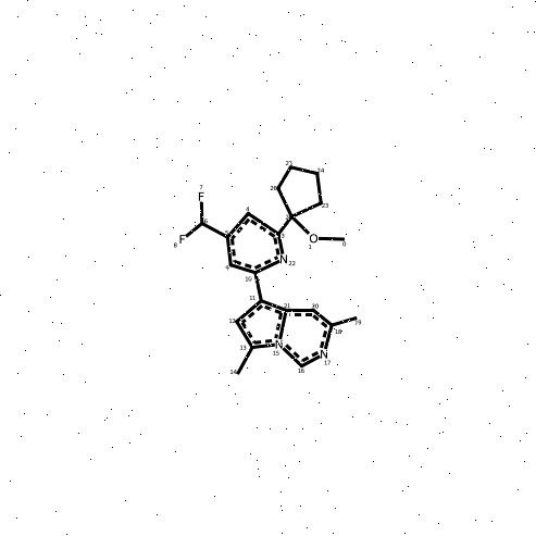 COC1(c2cc(C(F)F)cc(-c3cc(C)n4cnc(C)cc34)n2)CCCC1